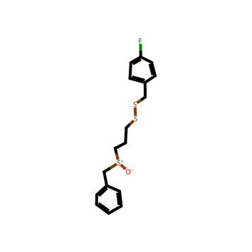 [O-][S+](CCCSSCc1ccc(F)cc1)Cc1ccccc1